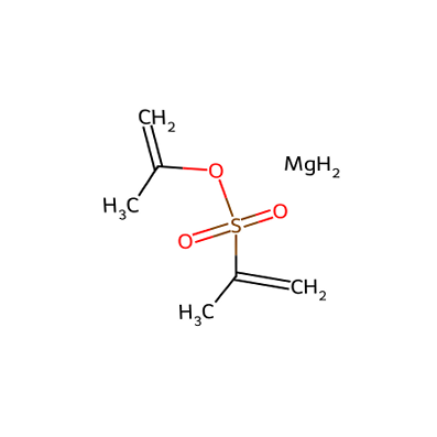 C=C(C)OS(=O)(=O)C(=C)C.[MgH2]